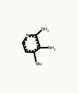 CC(C)(C)c1ccnc(N)c1N